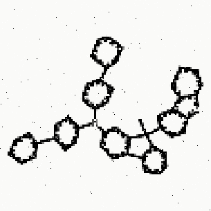 CC1(c2ccc3sc4ccccc4c3c2)c2ccccc2-c2ccc(N(c3ccc(-c4ccccc4)cc3)c3ccc(-c4ccccc4)cc3)cc21